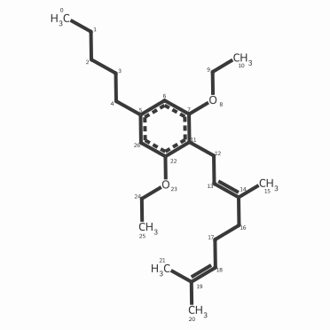 CCCCCc1cc(OCC)c(C/C=C(\C)CCC=C(C)C)c(OCC)c1